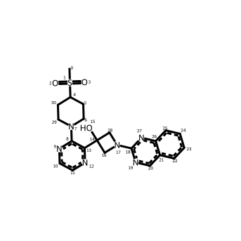 CS(=O)(=O)C1CCN(c2nccnc2C2(O)CN(c3ncc4ccccc4n3)C2)CC1